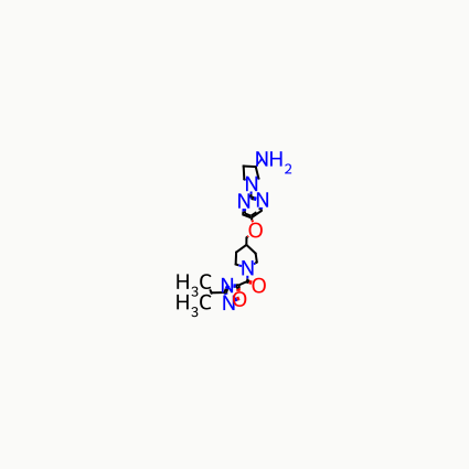 CC(C)c1noc(C(=O)N2CCC(COc3cnc(N4CC[C@@H](N)C4)nc3)CC2)n1